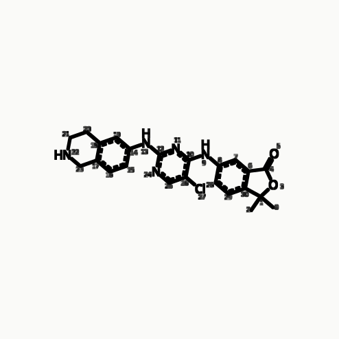 CC1(C)OC(=O)c2cc(Nc3nc(Nc4ccc5c(c4)CCNC5)ncc3Cl)ccc21